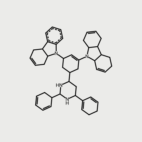 C1=CCC(C2NC(C3=CCCC=C3)CC(C3CC(N4C5C=CCCC5C5CC=CCC54)=CC(N4c5ccccc5C5CC=CCC54)C3)N2)C=C1